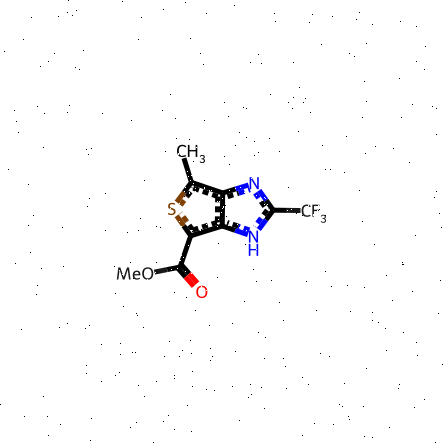 COC(=O)c1sc(C)c2nc(C(F)(F)F)[nH]c12